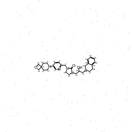 O=C1N(Cc2ccc(N3CCC4(CC3)COC4)cn2)CCN1CC(O)CN1CCc2ccccc2C1